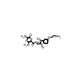 CCn1c(CNC(=O)c2nc(Cl)c(N)nc2N)[n+](CC)c2ccc(OCCN)cc21